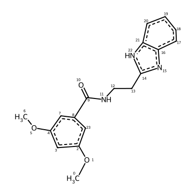 COc1cc(OC)cc(C(=O)NCCc2nc3ccccc3[nH]2)c1